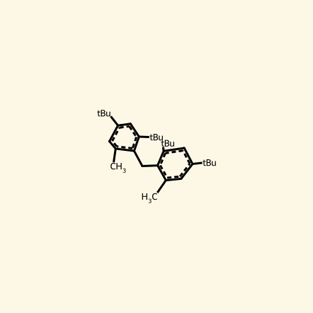 Cc1cc(C(C)(C)C)cc(C(C)(C)C)c1Cc1c(C)cc(C(C)(C)C)cc1C(C)(C)C